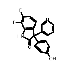 O=C1Nc2c(ccc(F)c2F)C1(c1ccc(O)cc1)c1cccnc1